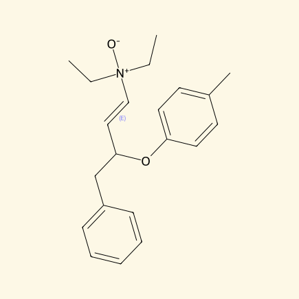 CC[N+]([O-])(/C=C/C(Cc1ccccc1)Oc1ccc(C)cc1)CC